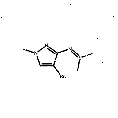 Cn1cc(Br)c(N=S(C)C)n1